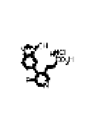 Cl.Cl.Cn1cnc2ccc(-c3c(F)cncc3/C=C/C(=O)O)cc21